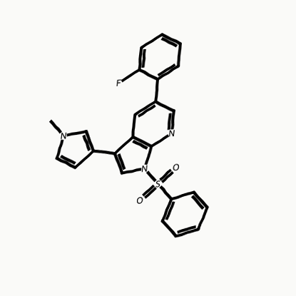 Cn1ccc(-c2cn(S(=O)(=O)c3ccccc3)c3ncc(-c4ccccc4F)cc23)c1